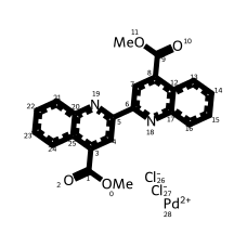 COC(=O)c1cc(-c2cc(C(=O)OC)c3ccccc3n2)nc2ccccc12.[Cl-].[Cl-].[Pd+2]